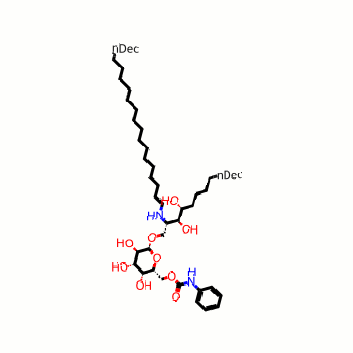 CCCCCCCCCCCCCCCCCCCCCCCCCCN[C@@H](CO[C@@H]1O[C@H](COC(=O)Nc2ccccc2)[C@H](O)[C@H](O)[C@H]1O)[C@H](O)[C@H](O)CCCCCCCCCCCCCC